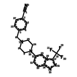 N#Cc1ccc(CN2CCN(c3ccc4nnc(C(F)(F)F)n4c3)CC2)cc1